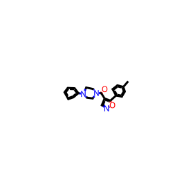 Cc1ccc(-c2oncc2C(=O)N2CCN(c3ccccc3)CC2)cc1